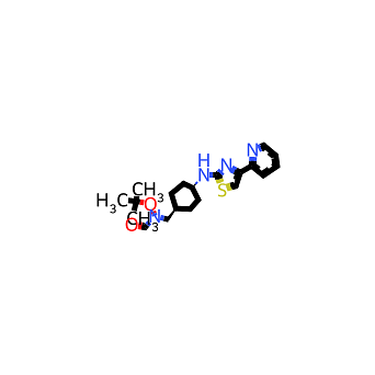 CC(C)(C)ON(C=O)C[C@H]1CC[C@H](Nc2nc(-c3ccccn3)cs2)CC1